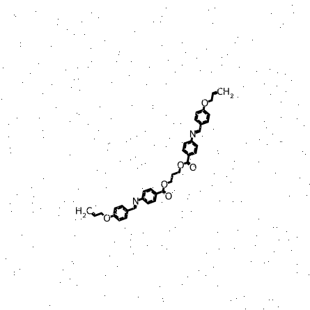 C=CCOc1ccc(/C=N/c2ccc(C(=O)OCCCOC(=O)c3ccc(/N=C/c4ccc(OCC=C)cc4)cc3)cc2)cc1